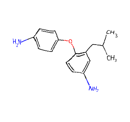 CC(C)Cc1cc(N)ccc1Oc1ccc(N)cc1